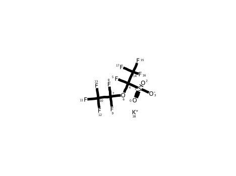 O=S(=O)([O-])C(F)(OC(F)(F)C(F)(F)F)C(F)(F)F.[K+]